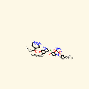 COc1cc2c(Oc3ccc(N(Cc4ccc(C(F)(F)F)cc4)C(=O)C(N)=O)cc3F)ccnc2cc1OC(C)C1CCNCC1